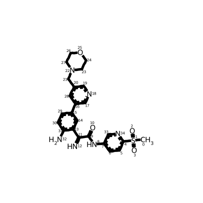 CS(=O)(=O)c1ccc(NC(=O)C(=N)c2cc(-c3cncc(CN4CCOCC4)c3)ccc2N)cn1